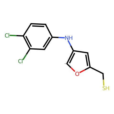 SCc1cc(Nc2ccc(Cl)c(Cl)c2)[c]o1